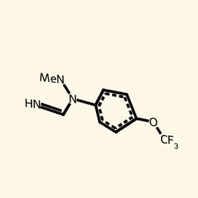 CNN(C=N)c1ccc(OC(F)(F)F)cc1